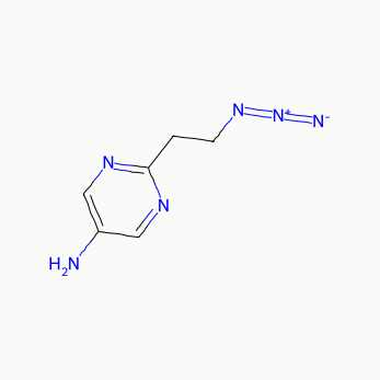 [N-]=[N+]=NCCc1ncc(N)cn1